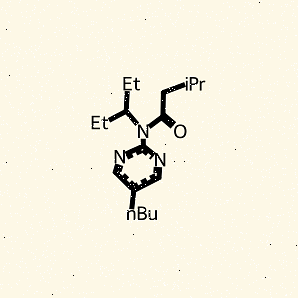 CCCCc1cnc(N(C(=O)CC(C)C)C(CC)CC)nc1